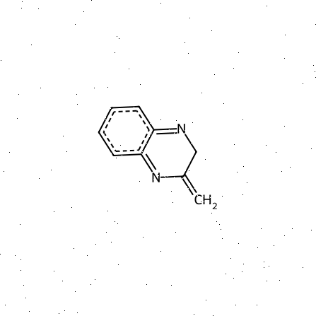 C=C1CN=c2ccccc2=N1